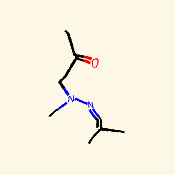 CC(=O)CN(C)N=C(C)C